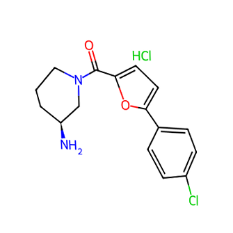 Cl.N[C@H]1CCCN(C(=O)c2ccc(-c3ccc(Cl)cc3)o2)C1